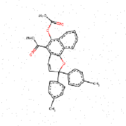 COC(=O)Oc1c(C(=O)OC)c2c(c3ccccc13)OC(c1ccc(C)cc1)(c1ccc(C)cc1)C=C2